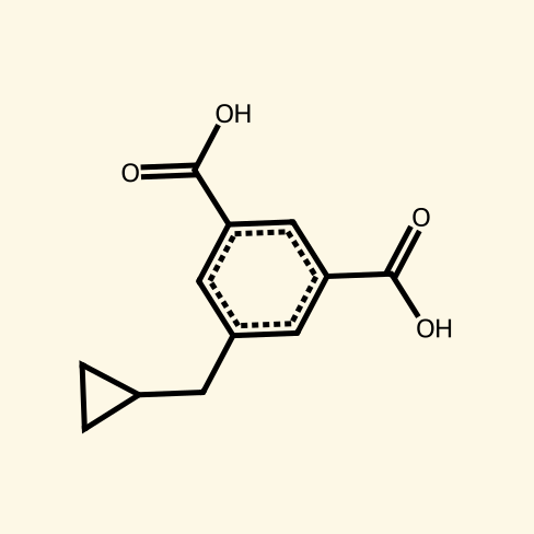 O=C(O)c1cc(CC2CC2)cc(C(=O)O)c1